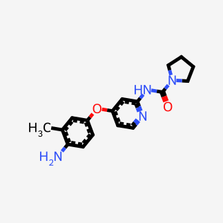 Cc1cc(Oc2ccnc(NC(=O)N3CCCC3)c2)ccc1N